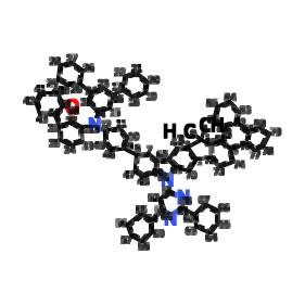 CC1(C)c2cc3c4cc(-c5ccc(N(c6cc(-c7ccccc7)cc(-c7ccccc7)c6)c6cccc7c6oc6ccccc67)cc5)ccc4n(-c4cc(-c5ccccc5)nc(-c5ccccc5)n4)c3cc2-c2ccc3c4ccccc4c4ccccc4c3c21